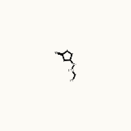 CC(C)CNOC1CCC(=O)C1